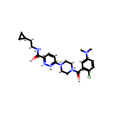 CN(C)c1ccc(Cl)c(C(=O)N2CCN(c3ccc(C(=O)NCCC4CC4)nn3)CC2)c1